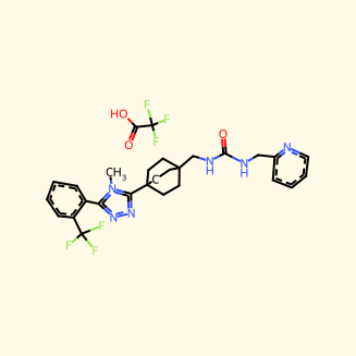 Cn1c(-c2ccccc2C(F)(F)F)nnc1C12CCC(CNC(=O)NCc3ccccn3)(CC1)CC2.O=C(O)C(F)(F)F